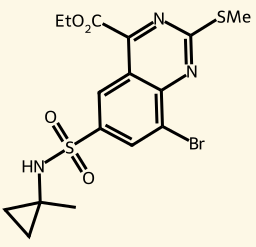 CCOC(=O)c1nc(SC)nc2c(Br)cc(S(=O)(=O)NC3(C)CC3)cc12